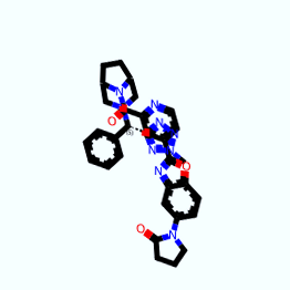 Cn1nnc([C@H](c2ccccc2)N2CC3CCC(C2)N3C(=O)c2cc(-c3nc4cc(N5CCCC5=O)ccc4o3)ccn2)n1